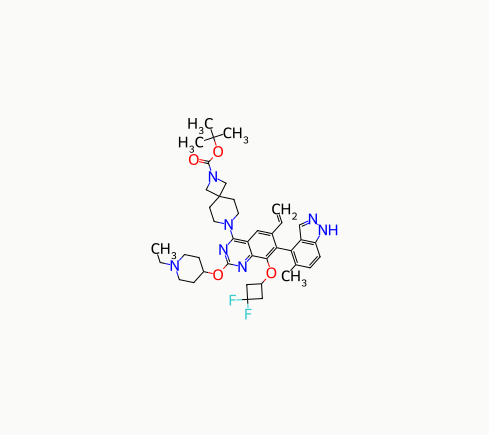 C=Cc1cc2c(N3CCC4(CC3)CN(C(=O)OC(C)(C)C)C4)nc(OC3CCN(CC)CC3)nc2c(OC2CC(F)(F)C2)c1-c1c(C)ccc2[nH]ncc12